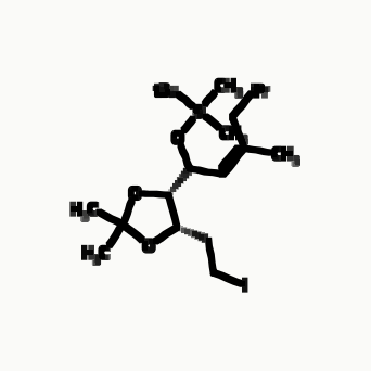 C/C(=C/C(O[Si](C)(C)C(C)(C)C)[C@H]1OC(C)(C)O[C@H]1CCI)CC(C)C